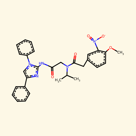 COc1ccc(CC(=O)N(CC(=O)Nc2nc(-c3ccccc3)cn2-c2ccccc2)C(C)C)cc1[N+](=O)[O-]